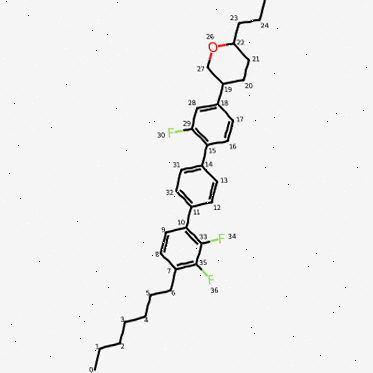 CCCCCCCc1ccc(-c2ccc(-c3ccc(C4CCC(CCC)OC4)cc3F)cc2)c(F)c1F